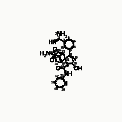 N=C(N)c1cccc(C2=NC(O)=S(C(=O)Nc3ccccn3)C23C2=CC=CC3=C2S(N)(=O)=O)c1